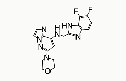 Fc1ccc2nc(CNc3cc(N4CCOCC4)nn4ccnc34)[nH]c2c1F